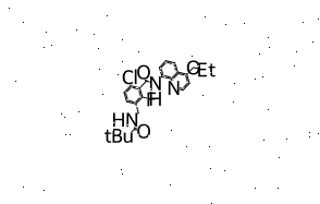 CCOc1ccnc2c(NC(=O)c3c(Cl)ccc(CNC(=O)C(C)(C)C)c3F)cccc12